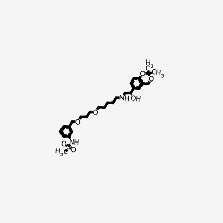 CC1(C)OCc2cc([C@@H](O)CNCCCCCOCCCOCc3cccc(NS(C)(=O)=O)c3)ccc2O1